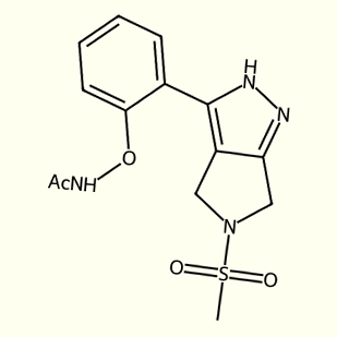 CC(=O)NOc1ccccc1-c1[nH]nc2c1CN(S(C)(=O)=O)C2